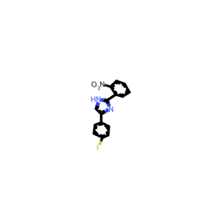 O=[N+]([O-])c1ccccc1-c1nc(-c2ccc(F)cc2)c[nH]1